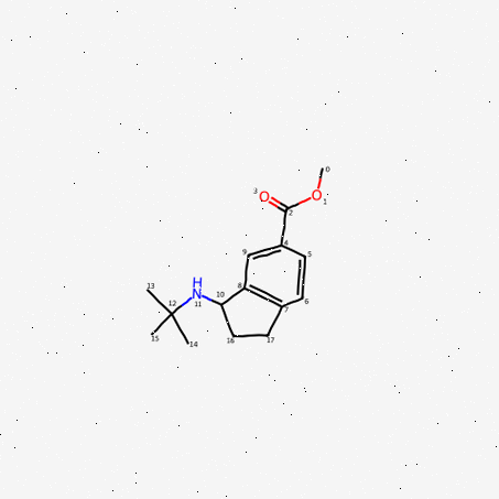 COC(=O)c1ccc2c(c1)C(NC(C)(C)C)CC2